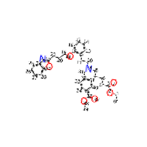 CCOC(=O)CCCCN(CCc1ccccc1OCCCc1nc2ccccc2o1)Cc1ccc(C(=O)OC)cc1